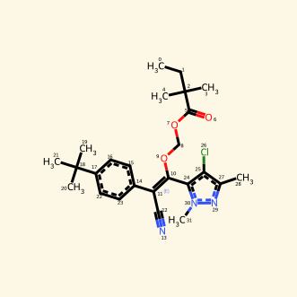 CCC(C)(C)C(=O)OCO/C(=C(/C#N)c1ccc(C(C)(C)C)cc1)c1c(Cl)c(C)nn1C